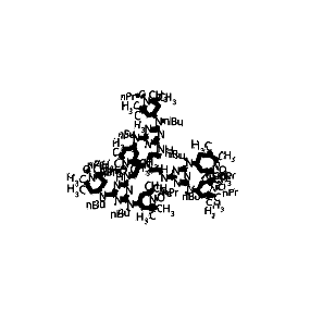 CCCCN(c1nc(NCCN(CCNc2nc(N(CCCC)C3CC(C)(C)N(OCCC)C(C)(C)C3)nc(N(CCCC)C3CC(C)(C)N(OCCC)C(C)(C)C3)n2)CCNc2nc(N(CCCC)C3CC(C)(C)N(OCCC)C(C)(C)C3)nc(N(CCCC)C3CC(C)(C)N(OCCC)C(C)(C)C3)n2)nc(N(CCCC)C2CC(C)(C)N(OCCC)C(C)(C)C2)n1)C1CC(C)C(C)N(OCCC)C(C)(C)C1